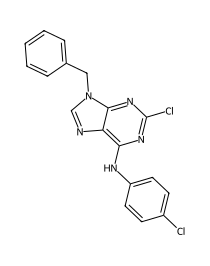 Clc1ccc(Nc2nc(Cl)nc3c2ncn3Cc2ccccc2)cc1